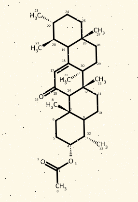 CC(=O)O[C@@H]1CC[C@@]2(C)C(CC[C@]3(C)C2C(=O)C=C2C4[C@@H](C)[C@H](C)CC[C@]4(C)CC[C@]23C)[C@@H]1C